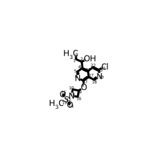 CCC(O)c1cnc(OC2CN(S(C)(=O)=O)C2)c2cnc(Cl)cc12